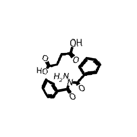 NN(C(=O)c1ccccc1)C(=O)c1ccccc1.O=C(O)CCC(=O)O